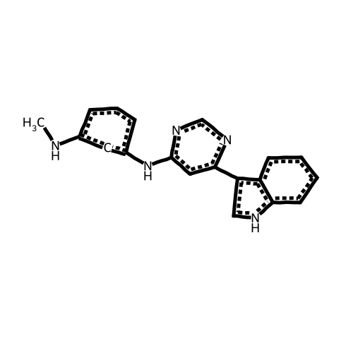 CNc1cccc(Nc2cc(-c3c[nH]c4ccccc34)ncn2)c1